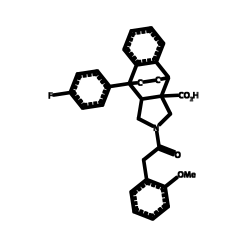 COc1ccccc1CC(=O)N1CC2C3(c4ccc(F)cc4)CCC(c4ccccc43)C2(C(=O)O)C1